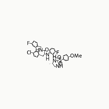 COc1ccc(S(=O)(=O)[C@@]2(CCc3c(F)cccc3N[C@@H](Cc3ccc(Cl)cc3)C(=O)NCc3ccc(F)cc3)CNC[C@H](C)N2)cc1